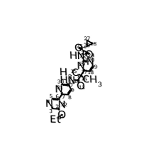 CCOc1cncc(-c2ccc(NC(=O)C(C)(C)c3ccnc(NS(=O)(=O)C4CC4)n3)cn2)n1